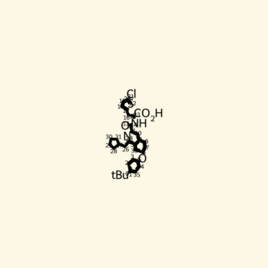 CC(C)(C)c1ccc(Oc2ccc3cc(C(=O)NC(Cc4ccc(Cl)s4)C(=O)O)nc(CC4CCCC4)c3c2)cc1